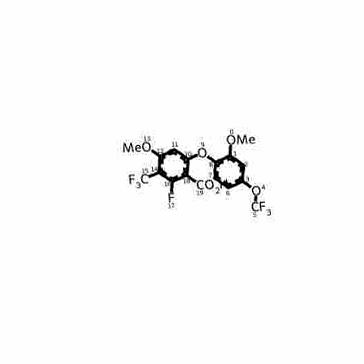 COc1cc(OC(F)(F)F)ccc1Oc1cc(OC)c(C(F)(F)F)c(F)c1C(=O)O